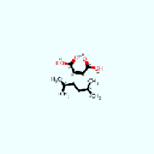 CC(C)CCC(C)C.O=C(O)/C=C\C(=O)O